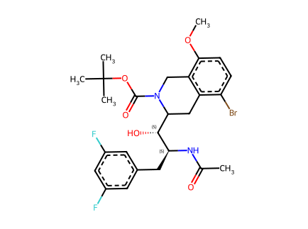 COc1ccc(Br)c2c1CN(C(=O)OC(C)(C)C)C([C@@H](O)[C@H](Cc1cc(F)cc(F)c1)NC(C)=O)C2